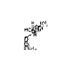 Nc1nc2cc(CC[C@@H]3[C@@H](O)[C@@H](O)[C@]4(n5ccc6c(N)ncnc65)C[C@@H]34)ccc2cc1Br